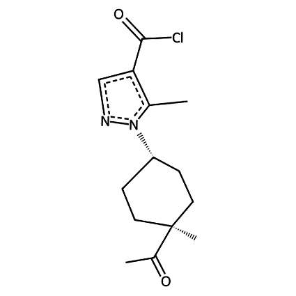 Cc1c(C(=O)Cl)cnn1[C@H]1CC[C@](C)(C(C)=O)CC1